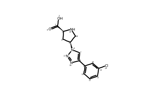 O=C(O)[C@@H]1C[C@H](n2cc(-c3cccc(Cl)c3)nn2)CN1